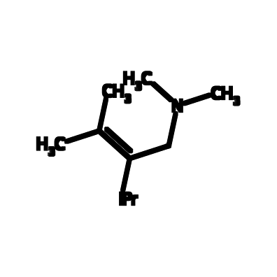 CC(C)=C(CN(C)C)C(C)C